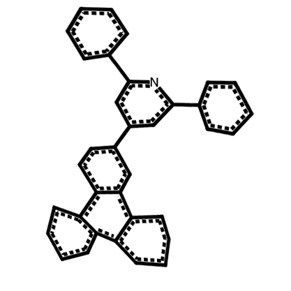 c1ccc(-c2cc(-c3ccc4c5ccccc5c5ccccc5c4c3)cc(-c3ccccc3)n2)cc1